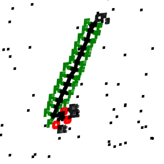 CCO[Si](OCC)(OCC)C(F)(F)C(F)(F)C(F)(F)C(F)(F)C(F)(F)C(F)(F)C(F)(F)C(F)(F)C(F)(F)C(F)(F)C(F)(F)C(F)(F)C(F)(F)C(F)(F)F